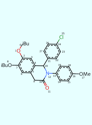 CCC(C)Oc1cc2c(cc1OCC(C)C)CC(=O)N(c1ccc(OC)cc1)C2c1ccc(Cl)cc1